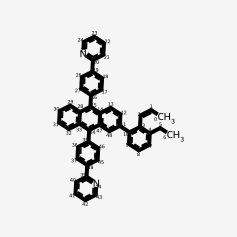 C/C=C\c1c(CC)cccc1-c1ccc2c(-c3ccc(-c4ccccn4)cc3)c3ccccc3c(-c3ccc(-c4ccccn4)cc3)c2c1